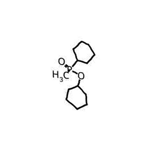 CP(=O)(OC1CCCCC1)C1CCCCC1